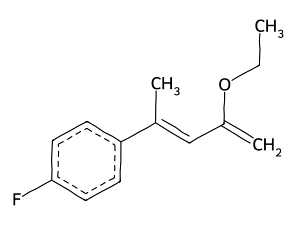 C=C(/C=C(\C)c1ccc(F)cc1)OCC